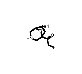 Cl.O=C(CF)C12CCC(CNC1)N2